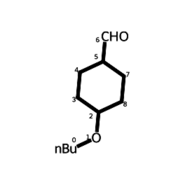 CCCCOC1CCC(C=O)CC1